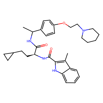 Cc1c(C(=O)N[C@@H](CCC2CC2)C(=O)NC(C)c2ccc(OCCN3CCCCC3)cc2)[nH]c2ccccc12